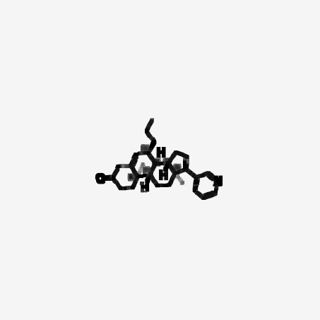 CCC[C@@H]1C=C2CC(=O)CC[C@]2(C)[C@H]2CC[C@]3(C)C(c4cccnc4)=CC[C@H]3[C@H]12